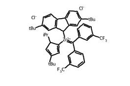 CC(C)C1C=C(C(C)(C)C)C=[C]1[Zr+2](=[C](c1cccc(C(F)(F)F)c1)c1cccc(C(F)(F)F)c1)[CH]1c2cc(C(C)(C)C)ccc2-c2ccc(C(C)(C)C)cc21.[Cl-].[Cl-]